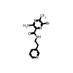 Nc1nc(C(F)(F)F)c(Br)nc1C(=O)NCCc1cccnc1